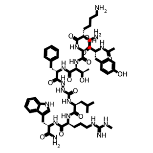 CNC(=N)NCCC[C@H](NC(=O)[C@H](CC(C)C)NC(=O)NNC(=O)[C@H](Cc1ccccc1)NC(=O)[C@@H](NC(=O)[C@H](CC(N)=O)NC(=O)[C@H](CCCCN)NC(=O)[C@@H](Cc1ccc(O)cc1)NC(C)=O)[C@@H](C)O)C(=O)N[C@@H](Cc1c[nH]c2ccccc12)C(N)=O